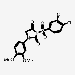 COc1ccc(N2CC(=O)N(S(=O)(=O)c3ccc(Cl)c(Cl)c3)C2=O)cc1OC